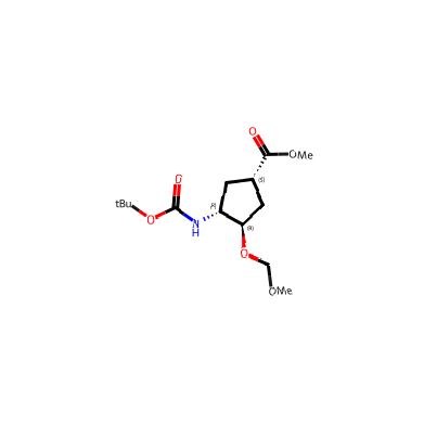 COCO[C@@H]1C[C@@H](C(=O)OC)C[C@H]1NC(=O)OC(C)(C)C